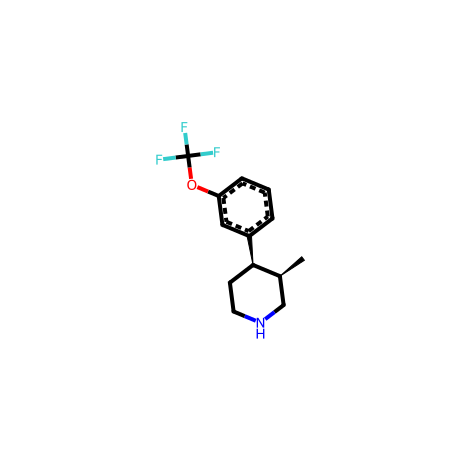 C[C@H]1CNCC[C@H]1c1cccc(OC(F)(F)F)c1